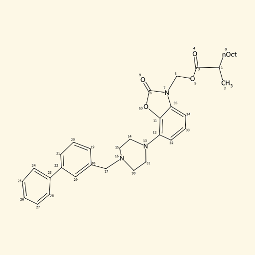 CCCCCCCCC(C)C(=O)OCn1c(=O)oc2c(N3CCN(Cc4cccc(-c5ccccc5)c4)CC3)cccc21